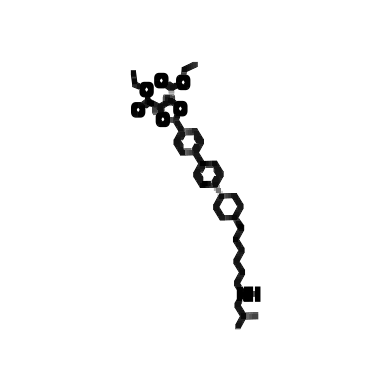 C=C(C)CNCCCCCC[C@H]1CC[C@H](c2ccc(-c3ccc(C4O[C@@H](C(=O)OCC)[C@H](C(=O)OCC)O4)cc3)cc2)CC1